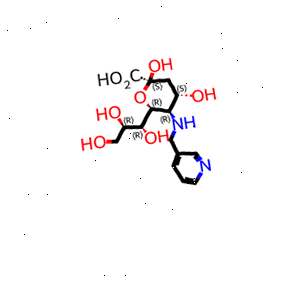 O=C(O)[C@]1(O)C[C@H](O)[C@@H](NCc2cccnc2)[C@H]([C@H](O)[C@H](O)CO)O1